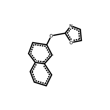 [c]1c(Oc2ncco2)ccc2ccccc12